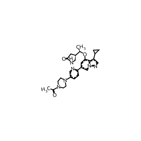 CC(=O)N1CCN(c2ccc(-c3cc(O[C@H](C)[C@H]4CNC(=O)C4)c4c(C5CC5)cnn4c3)nc2)CC1